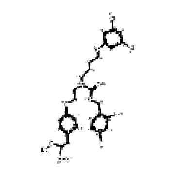 CCOC(Cc1ccc(OCCN(CCCCOc2cc(Cl)cc(Cl)c2)C(=O)OCc2ccc(F)cc2F)cc1)C(=O)O